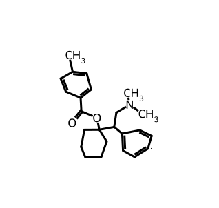 Cc1ccc(C(=O)OC2(C(CN(C)C)c3cc[c]cc3)CCCCC2)cc1